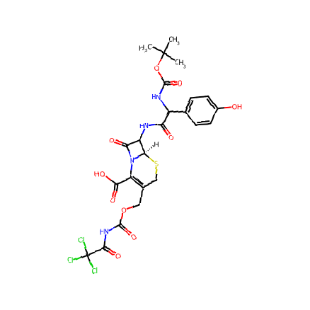 CC(C)(C)OC(=O)NC(C(=O)NC1C(=O)N2C(C(=O)O)=C(COC(=O)NC(=O)C(Cl)(Cl)Cl)CS[C@H]12)c1ccc(O)cc1